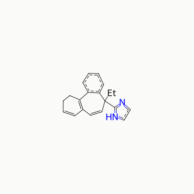 CCC1(c2ncc[nH]2)C=CC2=C(CCC=C2)c2ccccc21